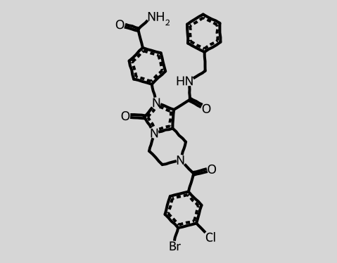 NC(=O)c1ccc(-n2c(C(=O)NCc3ccccc3)c3n(c2=O)CCN(C(=O)c2ccc(Br)c(Cl)c2)C3)cc1